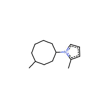 Cc1cccn1C1CCCCC(C)CC1